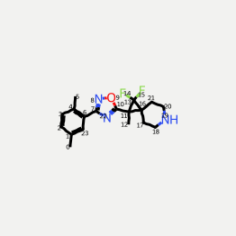 Cc1ccc(C)c(-c2noc(C3(C)C(F)(F)C34CCNCC4)n2)c1